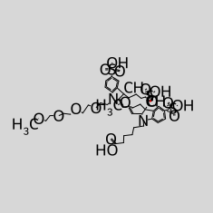 COCCOCCOCCOCCN1/C(=C/C=C/C2N(CCCCCC(=O)O)c3ccc(S(=O)(=O)O)cc3C2(C)CCOC)C(C)(CCCS(=O)(=O)O)c2cc(S(=O)(=O)O)ccc21